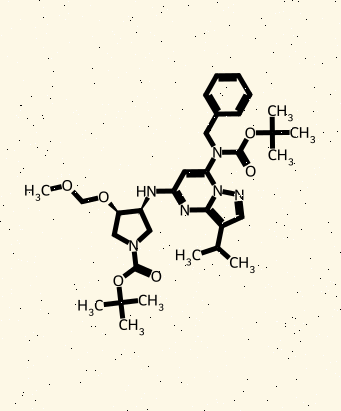 COCO[C@@H]1CN(C(=O)OC(C)(C)C)C[C@@H]1Nc1cc(N(Cc2ccccc2)C(=O)OC(C)(C)C)n2ncc(C(C)C)c2n1